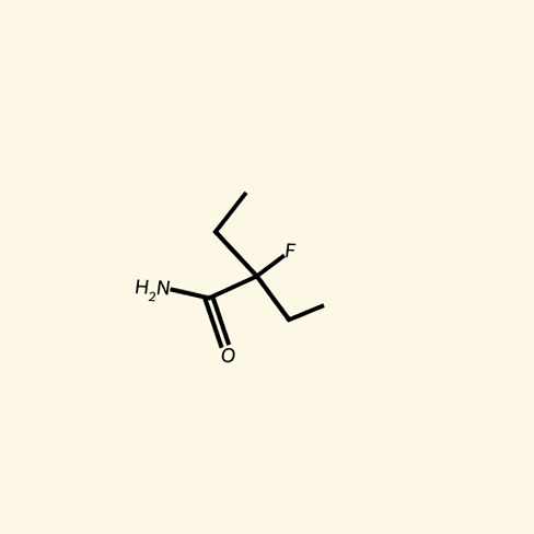 CCC(F)(CC)C(N)=O